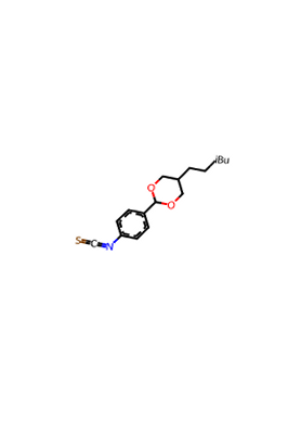 CCC(C)CCC1COC(c2ccc(N=C=S)cc2)OC1